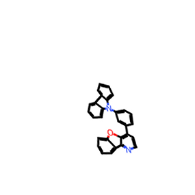 c1cc(-c2ccnc3c2oc2ccccc23)cc(-n2c3ccccc3c3ccccc32)c1